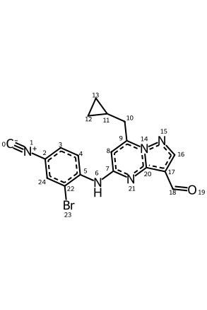 [C-]#[N+]c1ccc(Nc2cc(CC3CC3)n3ncc(C=O)c3n2)c(Br)c1